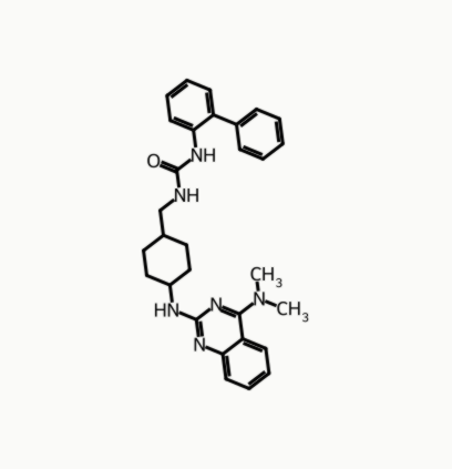 CN(C)c1nc(NC2CCC(CNC(=O)Nc3ccccc3-c3ccccc3)CC2)nc2ccccc12